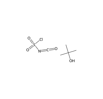 CC(C)(C)O.O=C=NS(=O)(=O)Cl